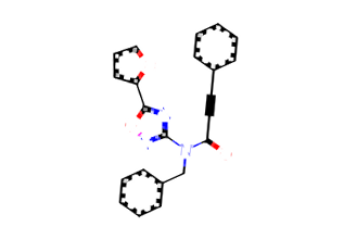 O=C(C#Cc1ccccc1)N(Cc1ccccc1)c1noc(-c2ccco2)n1